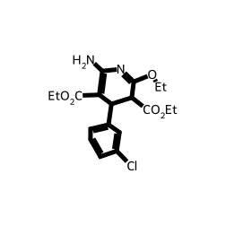 CCOC(=O)C1=C(N)N=C(OCC)C(C(=O)OCC)C1c1cccc(Cl)c1